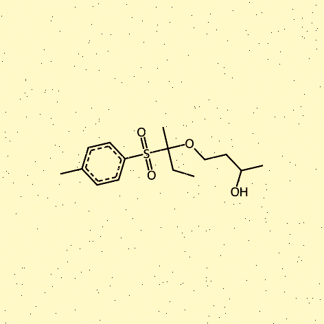 CCC(C)(OCCC(C)O)S(=O)(=O)c1ccc(C)cc1